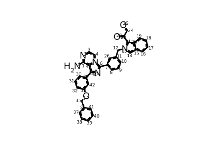 Nc1nccn2c(-c3cccc(Cn4cc5ccccc5c4C(=O)C=O)c3)nc(-c3cccc(OCc4ccccc4)c3)c12